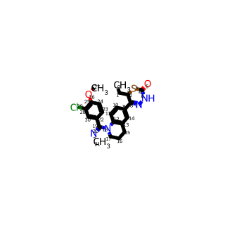 CCC1SC(=O)NN=C1c1ccc2c(c1)CCCN2/C(=N\C)c1ccc(OC)c(Cl)c1